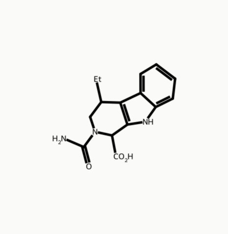 CCC1CN(C(N)=O)C(C(=O)O)c2[nH]c3ccccc3c21